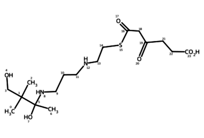 CC(C)(CO)C(C)(O)NCCCNCCSC(=O)CC(=O)CCC(=O)O